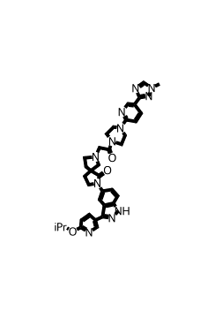 CC(C)Oc1ccc(-c2n[nH]c3ccc(N4CCC5(CCN(CC(=O)N6CCN(c7ccc(-c8ncn(C)n8)cn7)CC6)C5)C4=O)cc23)cn1